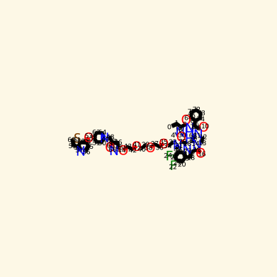 C=C[C@H](NC)C(=O)N[C@H](C(=O)N1CCN(C(=O)c2cc3cc(F)c(F)cc3n2CC(=O)N(C)CCOCCOCCOCCOc2cc(CN3CCC(Oc4ccnc5ccsc45)CC3)on2)CC1)C1CCCCC1